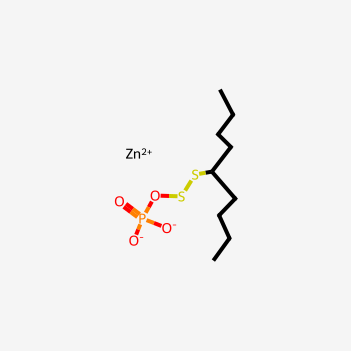 CCCCC(CCCC)SSOP(=O)([O-])[O-].[Zn+2]